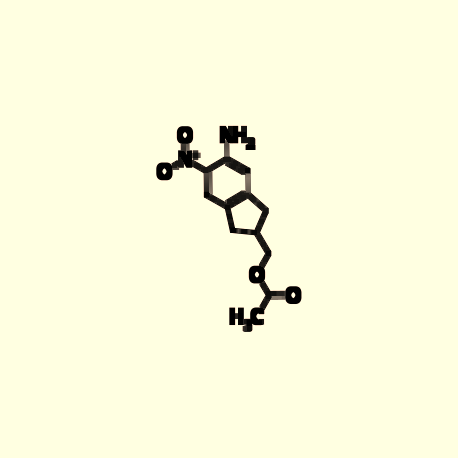 CC(=O)OCC1Cc2cc(N)c([N+](=O)[O-])cc2C1